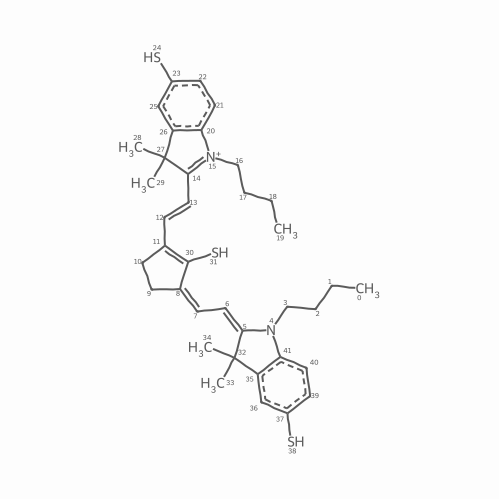 CCCCN1/C(=C/C=C2CCC(C=CC3=[N+](CCCC)c4ccc(S)cc4C3(C)C)=C2S)C(C)(C)c2cc(S)ccc21